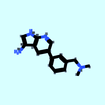 CN(C)Cc1cccc(-c2cnc3[nH]cc(N)c3c2)c1